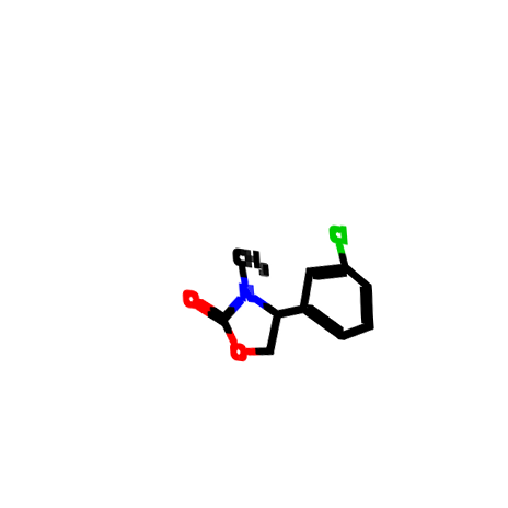 CN1C(=O)OCC1c1cccc(Cl)c1